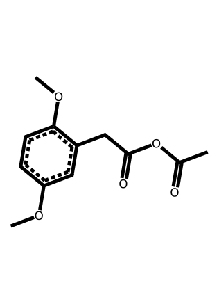 COc1ccc(OC)c(CC(=O)OC(C)=O)c1